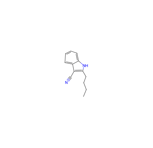 CCCCc1[nH]c2ccccc2c1C#N